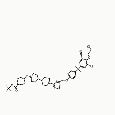 CC(C)(C)OC(=O)N1CCC(CN2CCC(C3CCN(c4nccc(COc5ccc(C(C)(C)c6cc(Cl)c(OCCCl)c(C#N)c6)cc5)n4)CC3)CC2)CC1